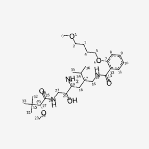 COCCCCOc1ccccc1C(=O)NCC(CC(N)C(O)CNC(=O)[C@H](OC)C(C)(C)C)C(C)C